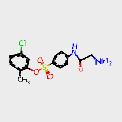 Cc1ccc(Cl)cc1OS(=O)(=O)c1ccc(NC(=O)CN)cc1